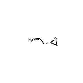 C=CC[C@H]1CO1